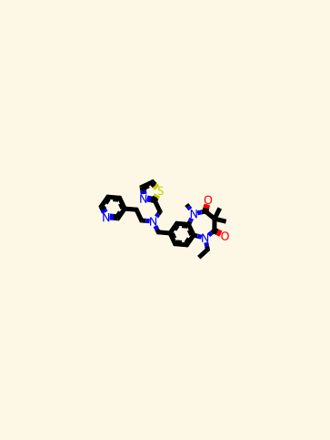 CCN1C(=O)C(C)(C)C(=O)N(C)c2cc(CN(CCc3cccnc3)Cc3nccs3)ccc21